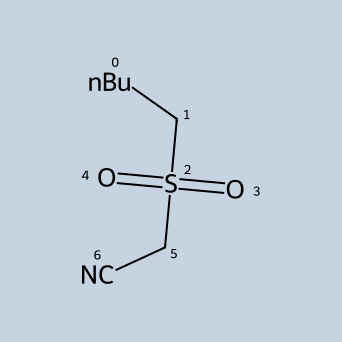 CCCCCS(=O)(=O)CC#N